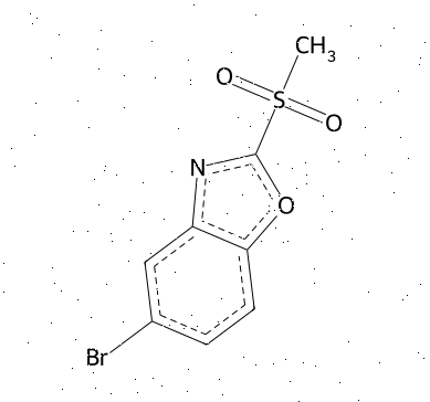 CS(=O)(=O)c1nc2cc(Br)ccc2o1